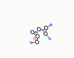 N#Cc1ccc2c(c1)c1cc(C#N)ccc1n2-c1cccc(-n2c3ccccc3c3c4oc5c(C#N)cccc5c4ccc32)c1